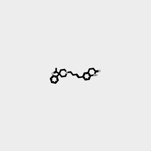 CC(=O)C1(c2ccccc2)CCN(CCC=Cc2ccc3c(c2)CCC(=O)N3)CC1